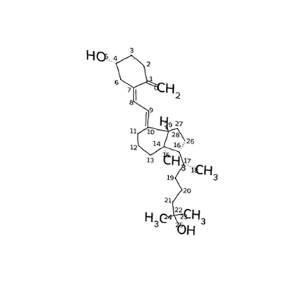 C=C1CC[C@@H](O)C/C1=C/C=C1\CCC[C@]2(C)[C@@H]([C@H](C)CCCC(C)(C)O)CC[C@@H]12